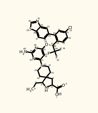 CCC1NC(C(=O)O)CC12CCN(c1cc(O[C@H](c3ccc(Cl)cc3-c3ccc4scnc4c3)C(F)(F)F)nc(N)n1)CC2